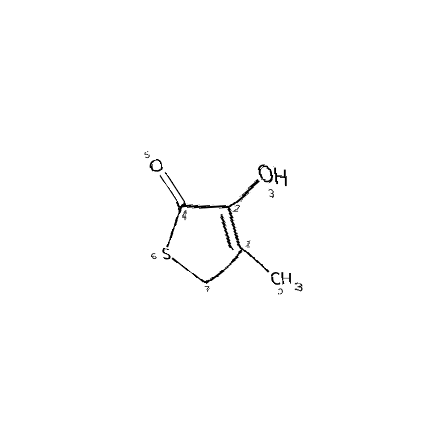 CC1=C(O)C(=O)SC1